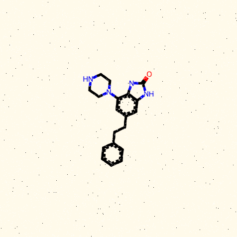 O=C1[N]c2c(cc(CCc3ccccc3)cc2N2CCNCC2)N1